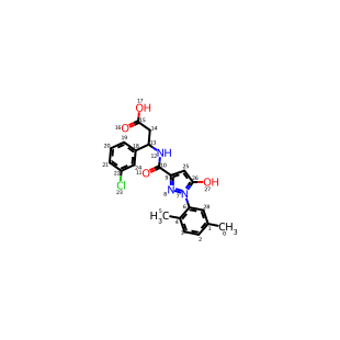 Cc1ccc(C)c(-n2nc(C(=O)NC(CC(=O)O)c3cccc(Cl)c3)cc2O)c1